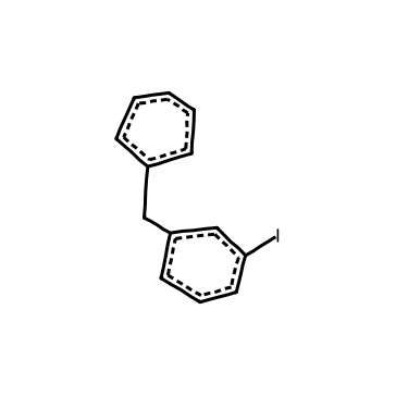 Ic1cccc(Cc2ccccc2)c1